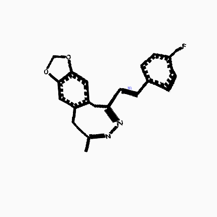 CC1=NN=C(/C=C/c2ccc(F)cc2)c2cc3c(cc2C1)OCO3